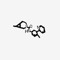 Cc1ccc(NC(=O)N2CCC3C(C)C3C2)cc1-c1ccccn1